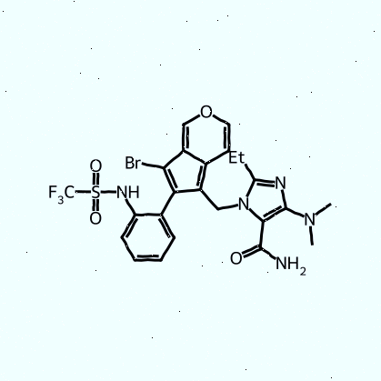 CCc1nc(N(C)C)c(C(N)=O)n1Cc1c2ccocc-2c(Br)c1-c1ccccc1NS(=O)(=O)C(F)(F)F